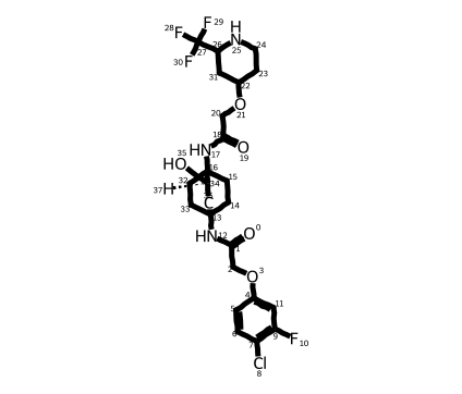 O=C(COc1ccc(Cl)c(F)c1)NC12CCC(NC(=O)COC3CCNC(C(F)(F)F)C3)(CC1)[C@H](O)C2